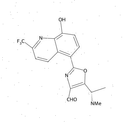 CN[C@@H](C)c1oc(-c2ccc(O)c3nc(C(F)(F)F)ccc23)nc1C=O